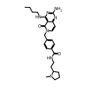 CCCCNc1nc(N)nc2ccn(Cc3ccc(C(=O)NCCC4CCCN4C)cc3)c(=O)c12